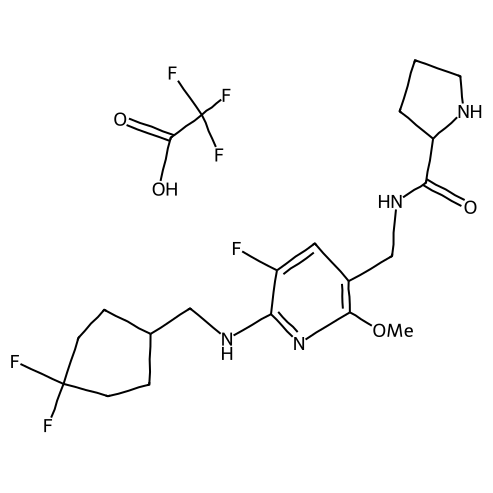 COc1nc(NCC2CCC(F)(F)CC2)c(F)cc1CNC(=O)C1CCCN1.O=C(O)C(F)(F)F